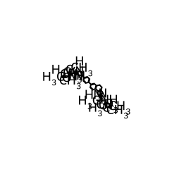 CC(C)[C@H](NC(=O)OC(C)(C)C)c1nc(-c2ccc(-c3ccc4c(c3)CCc3nc([C@@H](NC(=O)OC(C)(C)C)C(C)C)[nH]c3-4)cc2)c[nH]1